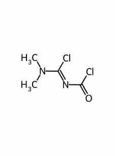 CN(C)C(Cl)=NC(=O)Cl